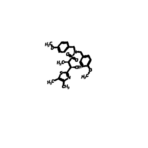 COc1ccc(CN(Cc2ccc(OC)cc2)S(=O)(=O)[C@H](C)[C@@H](O)c2nc(C)c(C)s2)cc1